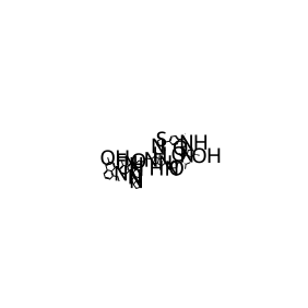 CCc1cccc2cc(O)cc(-c3ncc4c(N5CC6CCC(C5)N6)nc(OCCN5C[C@@H]6CN(c7cc([C@H](C(=O)N8C[C@H](O)C[C@H]8C(=O)N[C@@H](C)c8ccc(-c9scnc9C)cc8)C(C)C)on7)C[C@H]6C5)nc4c3F)c12